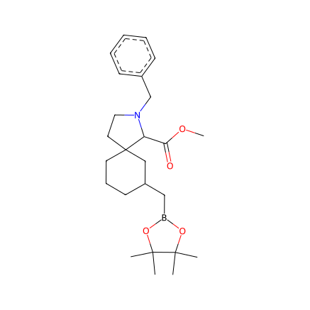 COC(=O)C1N(Cc2ccccc2)CCC12CCCC(CB1OC(C)(C)C(C)(C)O1)C2